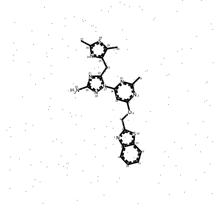 Cc1nc(OCc2nc3ccccc3s2)cc(-n2nc(N)nc2Cc2nc(C)sc2C)n1